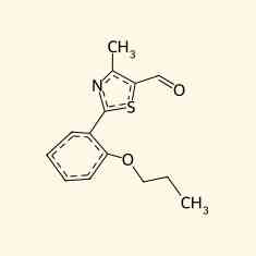 CCCOc1ccccc1-c1nc(C)c(C=O)s1